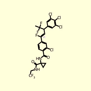 CC(F)(F)C(/C=C(\F)c1ccc(C(=O)NC2(C(=O)NCC(F)(F)F)CC2)c(Cl)c1)c1cc(Cl)c(Cl)c(Cl)c1